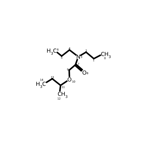 CCCN(CCC)C(=O)COC(C)CC